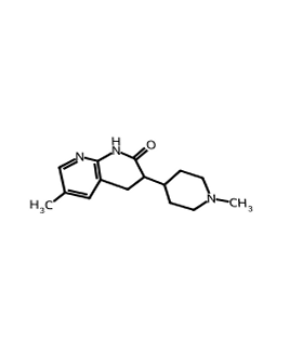 Cc1cnc2c(c1)CC(C1CCN(C)CC1)C(=O)N2